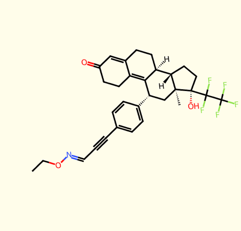 CCON=CC#Cc1ccc([C@H]2C[C@@]3(C)[C@@H](CC[C@@]3(O)C(F)(F)C(F)(F)F)[C@@H]3CCC4=CC(=O)CCC4=C32)cc1